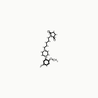 COc1ccc(F)cc1N1CCN(CCCCCN2C(=O)CCC2=O)CC1